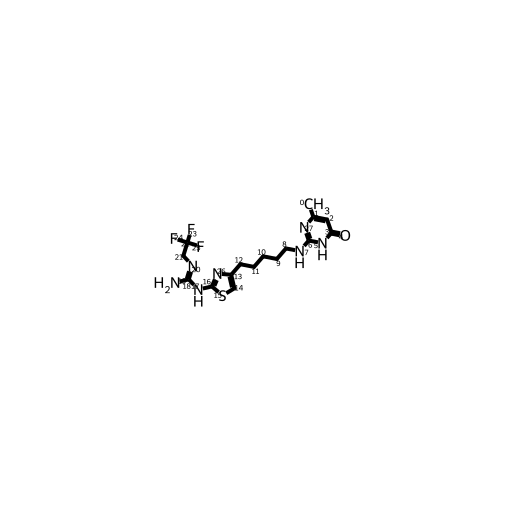 Cc1cc(=O)[nH]c(NCCCCCc2csc(NC(N)=NCC(F)(F)F)n2)n1